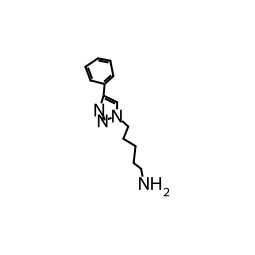 NCCCCCn1cc(-c2ccccc2)nn1